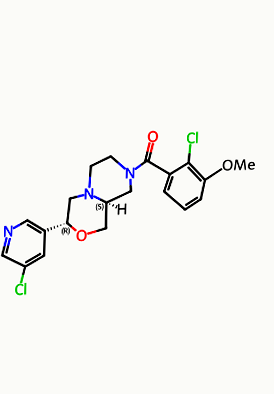 COc1cccc(C(=O)N2CCN3C[C@@H](c4cncc(Cl)c4)OC[C@@H]3C2)c1Cl